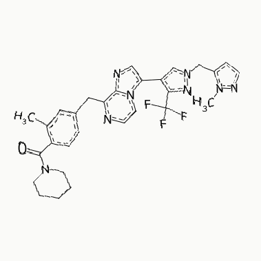 Cc1cc(Cc2nccn3c(-c4cn(Cc5ccnn5C)nc4C(F)(F)F)cnc23)ccc1C(=O)N1CCCCC1